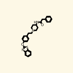 O=C(Cc1ccccc1)NC1CCN(CCc2ccc(Oc3nc4ccccc4s3)cc2)CC1